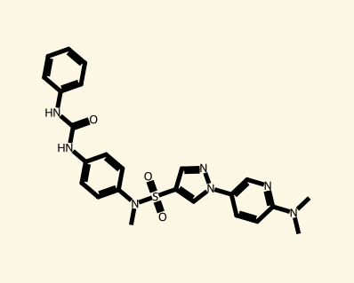 CN(C)c1ccc(-n2cc(S(=O)(=O)N(C)c3ccc(NC(=O)Nc4ccccc4)cc3)cn2)cn1